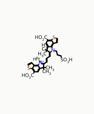 CCC[N+]1=C(/C=C/C=C2/N(CCCS(=O)(=O)O)c3c(cc(C(=O)O)c4sccc34)C2(C)C)C(C)(C)c2cc(C(=O)O)c3sccc3c21